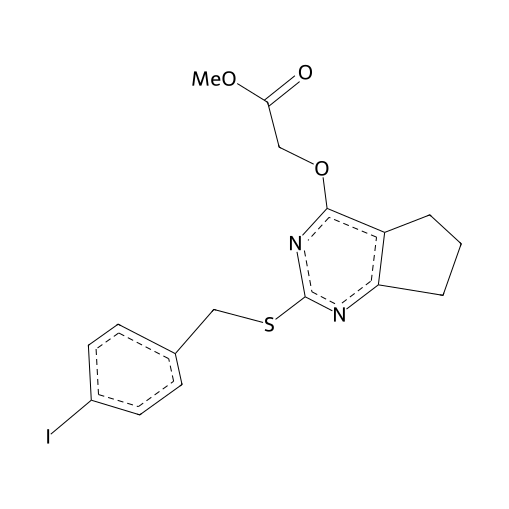 COC(=O)COc1nc(SCc2ccc(I)cc2)nc2c1CCC2